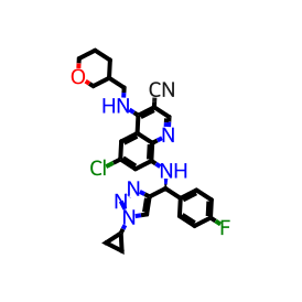 N#Cc1cnc2c(N[C@@H](c3ccc(F)cc3)c3cn(C4CC4)nn3)cc(Cl)cc2c1NCC1CCCOC1